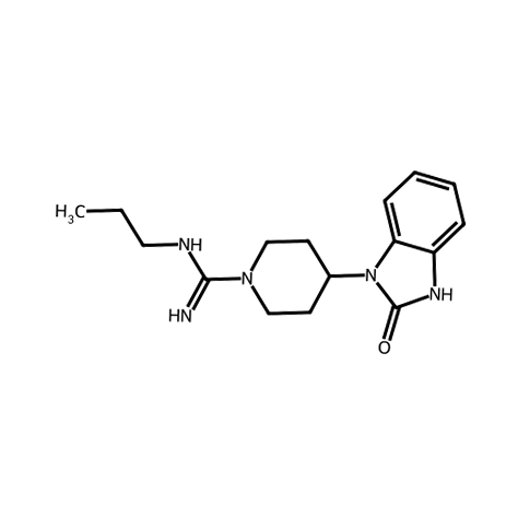 CCCNC(=N)N1CCC(n2c(=O)[nH]c3ccccc32)CC1